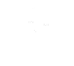 O=C1CNC(Cc2ccccc2)=NN1